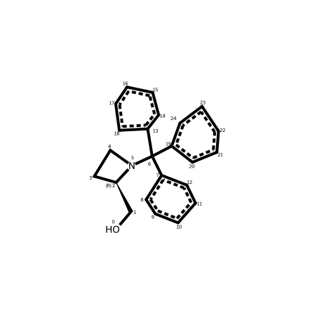 OC[C@H]1CCN1C(c1ccccc1)(c1ccccc1)c1ccccc1